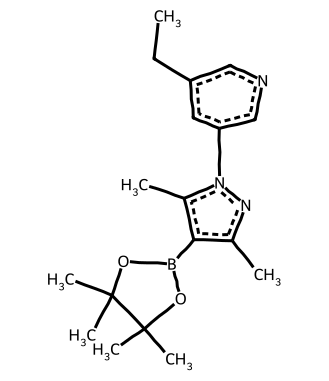 CCc1cncc(-n2nc(C)c(B3OC(C)(C)C(C)(C)O3)c2C)c1